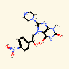 Cn1c2c(c(=O)[nH]c1=O)N(CC(O)c1ccc([N+](=O)[O-])cc1)C(N1CCNCC1)N2